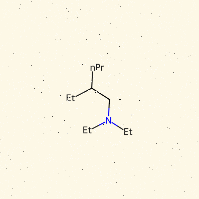 CCCC(CC)CN(CC)CC